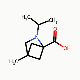 CC(C)N1CC2(C)CC1(C(=O)O)C2